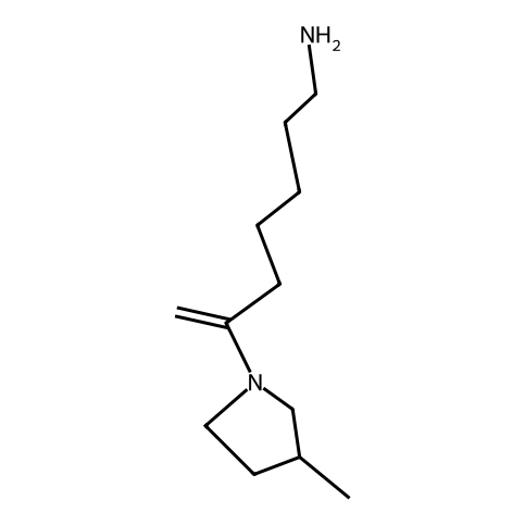 C=C(CCCCCN)N1CCC(C)C1